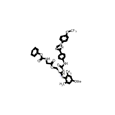 COc1cc(C)c(/N=C(\NC(=O)Nc2ccc(-c3ncn(-c4ccc(OC(F)(F)F)cc4)n3)cc2)SCOC(=O)CNC(=O)Oc2ccccc2)c(C)c1